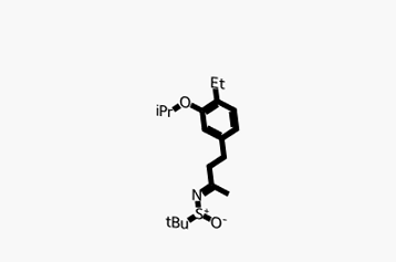 CCc1ccc(CC/C(C)=N/[S+]([O-])C(C)(C)C)cc1OC(C)C